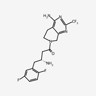 Nc1nc(C(F)(F)F)nc2c1CCN(C(=O)C[C@H](N)Cc1cc(F)ccc1F)C2